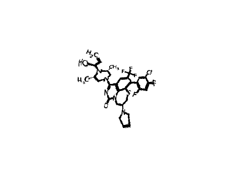 C=CC(O)N1[C@H](C)CN(c2nc(=O)n3c4c(c(-c5cc(Cl)c(F)cc5F)c(C(F)(F)F)cc24)SC[C@@H](N2CCCC2)C3)C[C@@H]1C